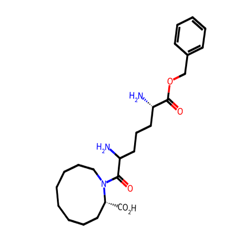 NC(CCC[C@H](N)C(=O)OCc1ccccc1)C(=O)N1CCCCCCCC[C@H]1C(=O)O